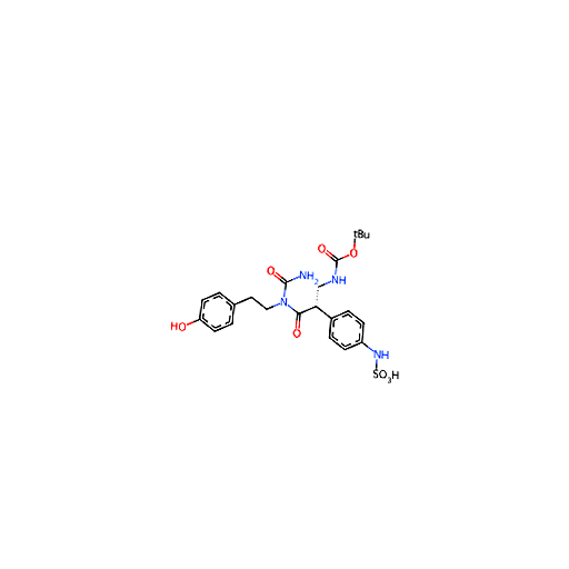 CC(C)(C)OC(=O)NC[C@@H](C(=O)N(CCc1ccc(O)cc1)C(N)=O)c1ccc(NS(=O)(=O)O)cc1